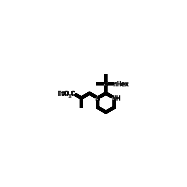 CCCCCC[Si](C)(C)C1NCCCN1CC(C)C(=O)OCC